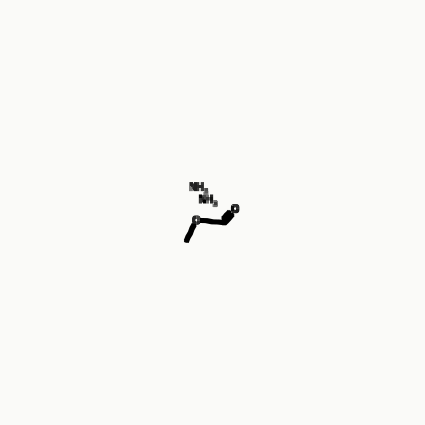 COC=O.N.N